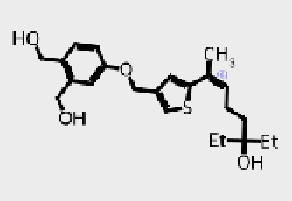 CCC(O)(CC)CC/C=C(/C)c1cc(COc2ccc(CO)c(CO)c2)cs1